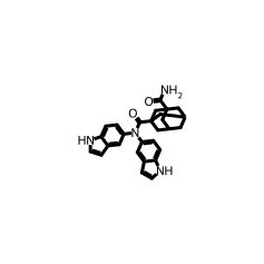 NC(=O)C12CC3CC(C1)CC(C(=O)N(c1ccc4[nH]ccc4c1)c1ccc4[nH]ccc4c1)(C3)C2